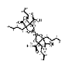 CCCCC1(C(=O)O)OB(B2OC(CCCC)(C(=O)O)C(CCCC)(C(=O)O)O2)OC1(CCCC)C(=O)O